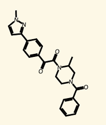 CC1CN(C(=O)c2ccccc2)CCN1C(=O)C(=O)c1ccc(-c2ccn(C)n2)cc1